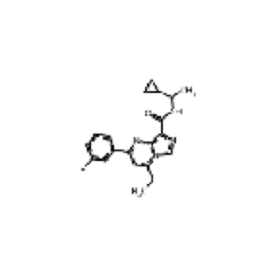 CCc1cc(-c2cccc(F)c2)nc2c(C(=O)NC(C)C3CC3)ncn12